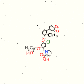 Cc1c(COc2cc(OC[C@H](C)CO)c(CN3CCCC[C@H]3C(=O)O)cc2Cl)cccc1-c1ccc2c(c1)OCCO2